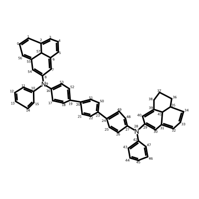 C1=CC2=CC=CC3=CC(N(c4ccccc4)c4ccc(-c5ccc(-c6ccc(N(C7=CC8=CC=CC9CCCC(=C7)C89)c7ccccc7)cc6)cc5)cc4)=CC(=C1)C23